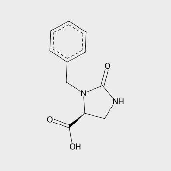 O=C(O)[C@@H]1CNC(=O)N1Cc1ccccc1